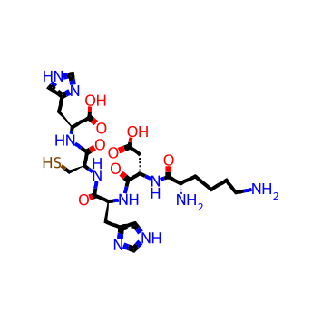 NCCCC[C@H](N)C(=O)N[C@@H](CC(=O)O)C(=O)N[C@@H](Cc1c[nH]cn1)C(=O)N[C@@H](CS)C(=O)N[C@@H](Cc1c[nH]cn1)C(=O)O